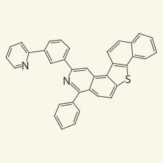 c1ccc(-c2nc(-c3cccc(-c4ccccn4)c3)cc3c2ccc2sc4c5ccccc5ccc4c23)cc1